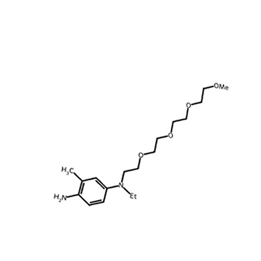 CCN(CCOCCOCCOCCOC)c1ccc(N)c(C)c1